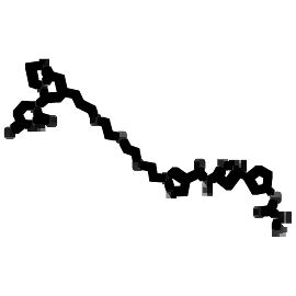 CC(C)NC(=O)O[C@@H]1CC[C@H](c2cc(NC(=O)c3cnn(CCOCCOCCOCCCc4cc(N5CCC(=O)NC5=O)n5ccnc5c4)c3)n[nH]2)C1